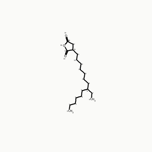 CCCCCCC(CC)CCCCCCCC1CC(=O)OC1=O